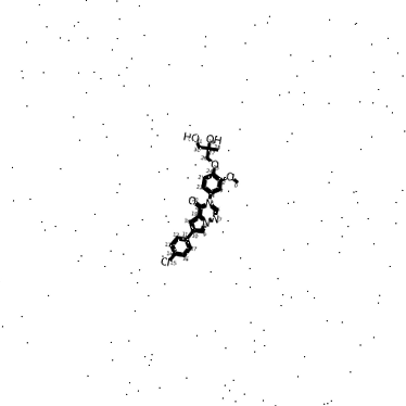 COc1cc(-n2cnn3cc(-c4ccc(Cl)cc4)cc3c2=O)ccc1OCC(C)(O)CO